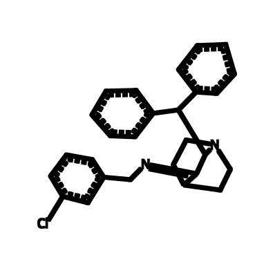 Clc1cccc(C/N=C2\C3CCN(CC3)C2C(c2ccccc2)c2ccccc2)c1